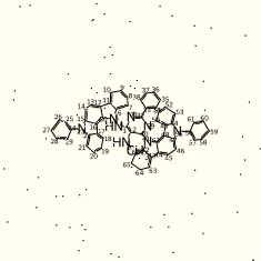 CNc1c(Nn2c3ccccc3c3ccc4c(c5ccccc5n4-c4ccccc4)c32)nc(-c2ccccc2)nc1-n1c2c(c3ccc4c(c5ccccc5n4-c4ccccc4)c31)=CCCC=2